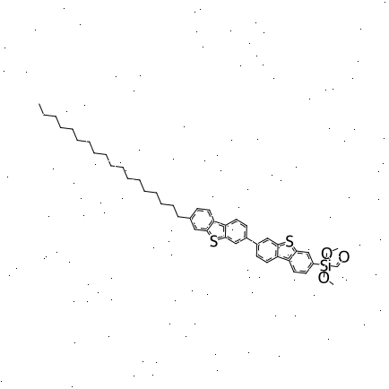 CCCCCCCCCCCCCCCCCCc1ccc2c(c1)sc1cc(-c3ccc4c(c3)sc3cc([Si](C=O)(OC)OC)ccc34)ccc12